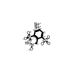 CC(C)(C)[N+]([O-])=Cc1c(S(=O)(=O)[O-])cccc1S(=O)(=O)[O-].[Na+].[Na+]